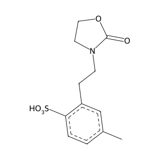 Cc1ccc(S(=O)(=O)O)c(CCN2CCOC2=O)c1